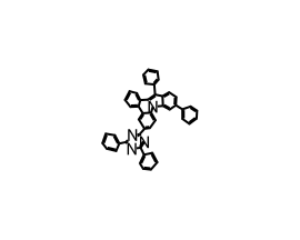 c1ccc(-c2ccc3c(-c4ccccc4)c4c5ccccc5c5cc(-c6nc(-c7ccccc7)nc(-c7ccccc7)n6)ccc5n4c3c2)cc1